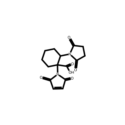 O=C1CCC(=O)N1C1CCCCC1(C(=O)O)N1C(=O)C=CC1=O